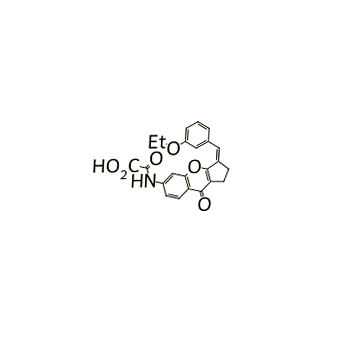 CCOc1cccc(/C=C2/CCc3c2oc2cc(NC(=O)C(=O)O)ccc2c3=O)c1